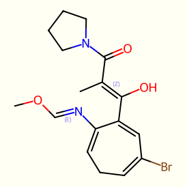 CO/C=N/C1=CCC=C(Br)C=C1/C(O)=C(\C)C(=O)N1CCCC1